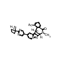 CC(=O)c1cccc2c1[C@H]1C[C@H](c3nn4ccc(-c5cnc(C6(N)CCC6)nc5)cc4c31)N(C)C2=O